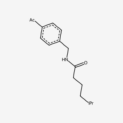 CC(=O)c1ccc(CNC(=O)CCCC(C)C)cc1